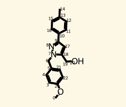 COc1ccc(Cn2nc(-c3ccc(C)cc3)cc2CO)cc1